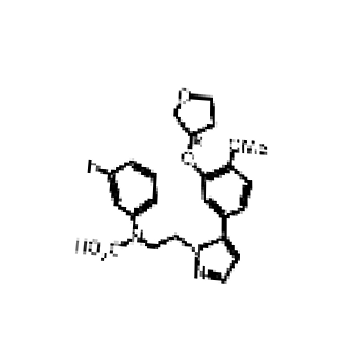 COc1ccc(-c2ccnn2CCN(C(=O)O)c2cccc(F)c2)cc1O[C@@H]1CCOC1